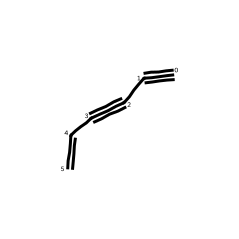 C#CC#CC=C